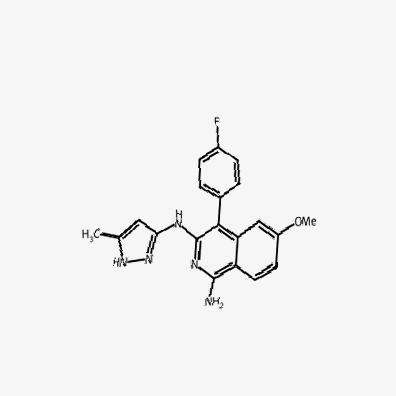 COc1ccc2c(N)nc(Nc3cc(C)[nH]n3)c(-c3ccc(F)cc3)c2c1